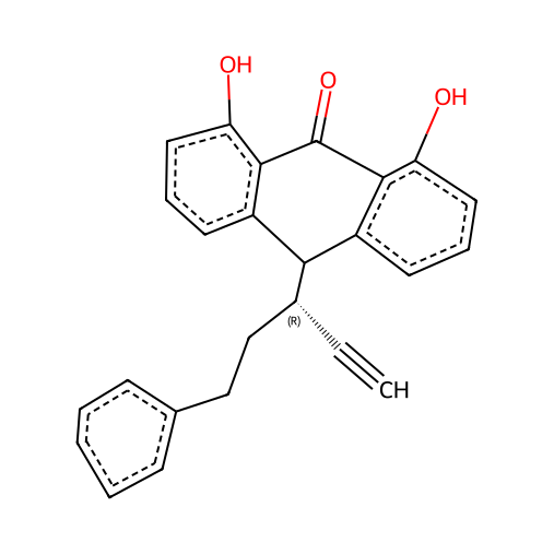 C#C[C@H](CCc1ccccc1)C1c2cccc(O)c2C(=O)c2c(O)cccc21